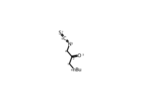 CCCCCC(=O)CN=C=S